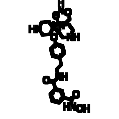 O=C(NO)c1cccc(C(=O)NCCc2ccc(OC3(C4(C5CCONO5)CCNCC4)CNCCN3)cc2)c1